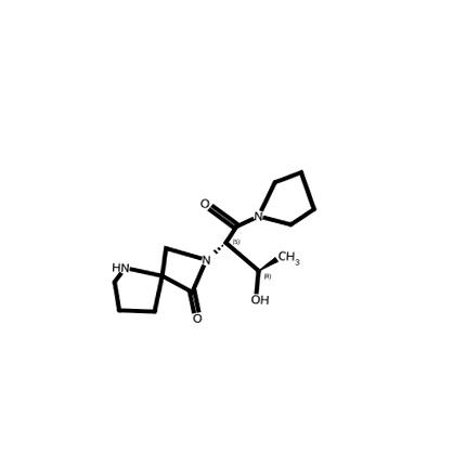 C[C@@H](O)[C@@H](C(=O)N1CCCC1)N1CC2(CCCN2)C1=O